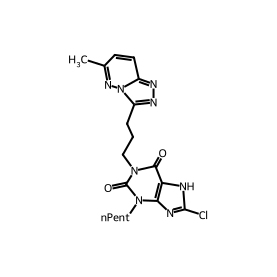 CCCCCn1c(=O)n(CCCc2nnc3ccc(C)nn23)c(=O)c2[nH]c(Cl)nc21